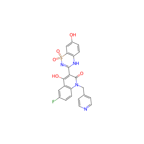 O=c1c(C2=NS(=O)(=O)c3cc(O)ccc3N2)c(O)c2cc(F)ccc2n1Cc1ccncc1